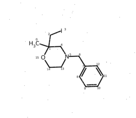 CC1(CI)CN(Cc2ccccc2)CCO1